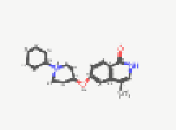 Cc1c[nH]c(=O)c2ccc(OC3CCN(C4CCCCC4)CC3)cc12